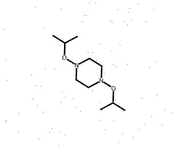 CC(C)ON1CCN(OC(C)C)CC1